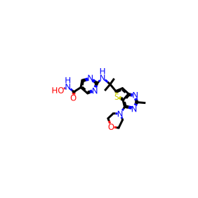 Cc1nc(N2CCOCC2)c2sc(C(C)(C)Nc3ncc(C(=O)NO)cn3)cc2n1